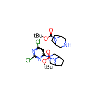 CC(C)(C)OC(=O)N1C2CCC1CN(c1cc(Cl)nc(Cl)n1)C2.CC(C)(C)OC(=O)N1C2CCC1CNC2